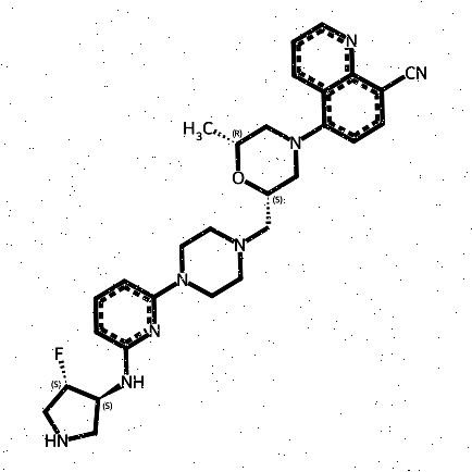 C[C@@H]1CN(c2ccc(C#N)c3ncccc23)C[C@H](CN2CCN(c3cccc(N[C@H]4CNC[C@@H]4F)n3)CC2)O1